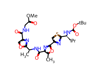 COC(=O)CNC(=O)c1coc([C@H](C)NC(=O)c2nc(-c3csc([C@@H](NC(=O)OC(C)(C)C)C(C)C)n3)oc2C)n1